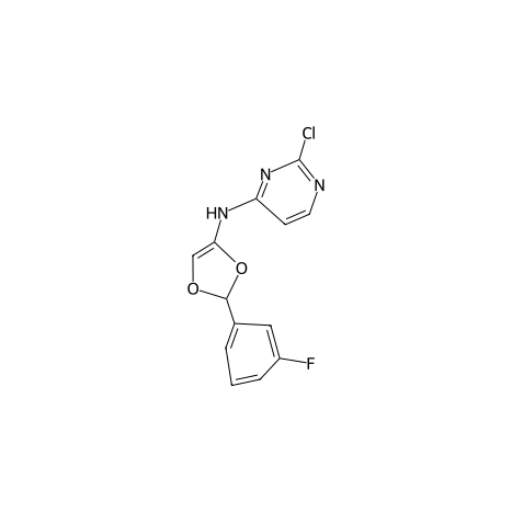 Fc1cccc(C2OC=C(Nc3ccnc(Cl)n3)O2)c1